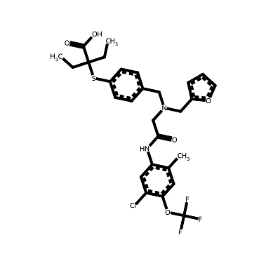 CCC(CC)(Sc1ccc(CN(CC(=O)Nc2cc(Cl)c(OC(F)(F)F)cc2C)Cc2ccco2)cc1)C(=O)O